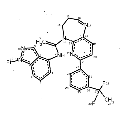 C=C(Nc1cccc2c1cnn2CC)N1CCC=Nc2ccc(-c3cccc(C(C)(F)F)c3)nc21